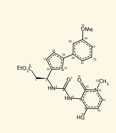 CCOC(=O)C[C@H](NC(=O)Nc1c(O)ccn(C)c1=O)c1ccc(-c2cccc(OC)c2)s1